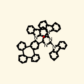 c1ccc2c(c1)-c1ccccc1-c1cc(-c3cc(-n4c5ccccc5c5ccccc54)nc(-n4c5ccccc5c5ccccc54)n3)c(-n3c4ccccc4c4ccccc43)cc1-c1ccccc1-2